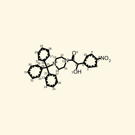 O=C(C(O)c1ccc([N+](=O)[O-])cc1)N1CCN(C(c2ccccc2)(c2ccccc2)c2ccccc2)CC1